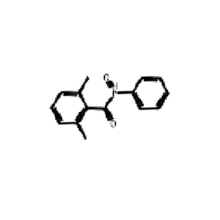 Cc1cccc(C)c1C(=O)[PH](=O)c1ccccc1